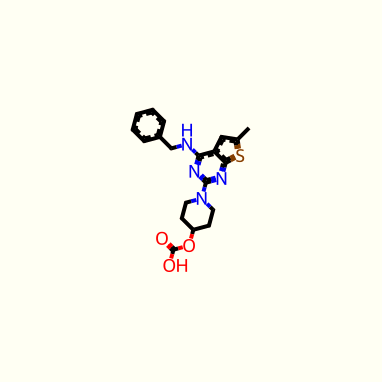 Cc1cc2c(NCc3ccccc3)nc(N3CCC(OC(=O)O)CC3)nc2s1